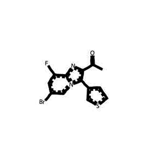 CC(=O)c1nc2c(F)cc(Br)cn2c1-c1ccsc1